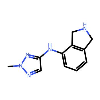 Cn1ncc(Nc2cccc3c2CNC3)n1